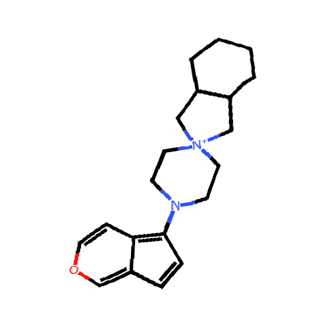 c1cc2c(N3CC[N+]4(CC3)CC3CCCCC3C4)ccc-2co1